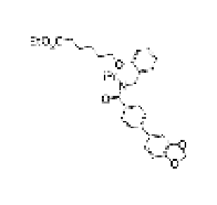 CCOC(=O)CCCCCOc1ccccc1CN(C(=O)c1ccc(-c2ccc3c(c2)OCO3)cc1)C(C)C